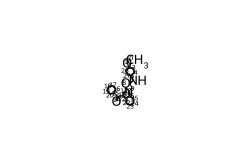 COc1ccc(NC(=O)Cn2cc(C(=O)c3ccccc3)c3ccccc32)cc1